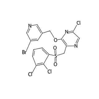 O=S(=O)(Cc1ncc(Cl)nc1OCc1cncc(Br)c1)c1cccc(Cl)c1Cl